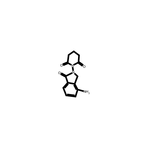 Nc1cccc2c1CN(N1C(=O)CCCC1=O)C2=O